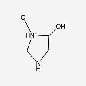 [O-][NH+]1CNCC1O